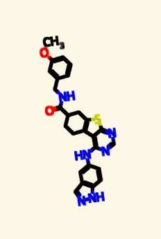 COc1cccc(CNC(=O)C2CCc3c(sc4ncnc(Nc5ccc6[nH]ncc6c5)c34)C2)c1